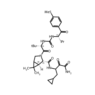 CSc1ccc(C(=O)[C@@H](NC(=O)N[C@H](C(=O)N2CC3[C@@H]([C@H]2C(=O)NC(CC2CC2)C(=O)C(N)=O)C3(C)C)C(C)(C)C)C(C)C)cc1